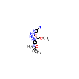 CCOCCCn1c(NC(=O)Nc2ccc(C#N)cn2)nc2cc(N(C)C(=O)C(CC)CC)ccc21